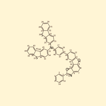 c1ccc(-c2nc3ccc4oc5ccc(-c6ccc(N(c7ccc8c(c7)sc7ccccc78)c7ccc8sc9ccccc9c8c7)cc6)cc5c4c3o2)cc1